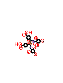 COc1cc(OC)c(/C=C/C(c2ccc(C(=O)O)cc2)S(=O)(=O)C(/C=C/c2c(OC)cc(OC)cc2OC)c2ccc(C(=O)O)cc2)c(OC)c1